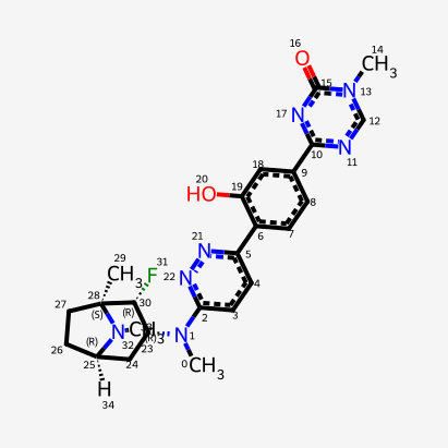 CN(c1ccc(-c2ccc(-c3ncn(C)c(=O)n3)cc2O)nn1)[C@@H]1C[C@H]2CC[C@@](C)([C@@H]1F)N2C